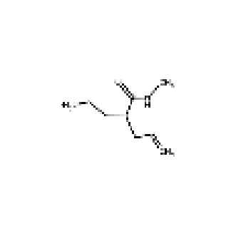 [CH2]CCC(CC=C)C(=O)NC